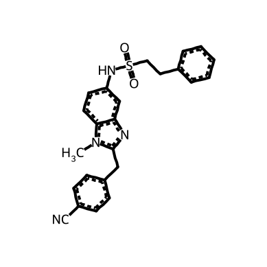 Cn1c(Cc2ccc(C#N)cc2)nc2cc(NS(=O)(=O)CCc3ccccc3)ccc21